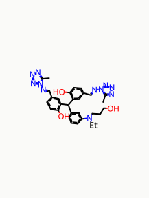 CCN(CCCO)c1cccc(C(c2cc(C=Nn3nnnc3C)ccc2O)c2cc(C=Nn3nnnc3C)ccc2O)c1